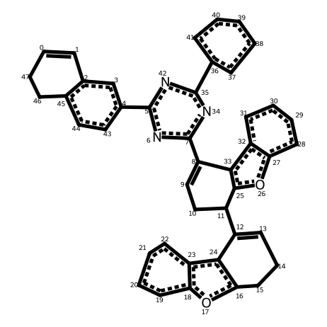 C1=Cc2cc(-c3nc(C4=CCC(C5=CCCc6oc7ccccc7c65)c5oc6ccccc6c54)nc(-c4ccccc4)n3)ccc2CC1